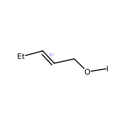 CC/C=C/COI